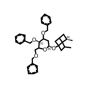 CC1CC2(O[C@@H]3CC(OCc4ccccc4)[C@H](OCc4ccccc4)C(COCc4ccccc4)O3)CC3C[C@@H](C)C132